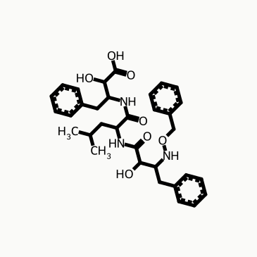 CC(C)CC(NC(=O)C(O)C(Cc1ccccc1)NOCc1ccccc1)C(=O)NC(Cc1ccccc1)C(O)C(=O)O